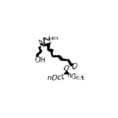 CCCCCCCCCN(CCCO)CCCCCCCC(=O)OC(CCCCCCCC)CCCCCCCC